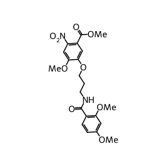 COC(=O)c1cc(OCCCNC(=O)c2ccc(OC)cc2OC)c(OC)cc1[N+](=O)[O-]